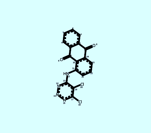 O=C1c2ccccc2C(=O)c2c(Nc3nnnc(Cl)c3Cl)cccc21